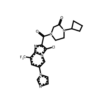 O=C(c1nc2c(C(F)(F)F)cc(-n3ccnc3)cn2c1Cl)N1CCN(C2CCC2)C(=O)C1